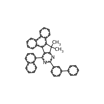 CC1(C)c2nc(-c3cccc(-c4ccccc4)c3)nc(-c3cccc4ccccc34)c2-c2c1c1ccccc1c1ccccc21